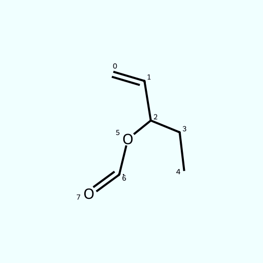 C=CC(CC)O[C]=O